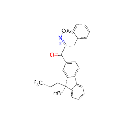 CCCC1(CCC(F)(F)F)c2ccccc2-c2ccc(C(=O)/C(Cc3ccccc3)=N/OC(C)=O)cc21